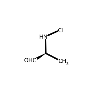 C[C@@H](C=O)NCl